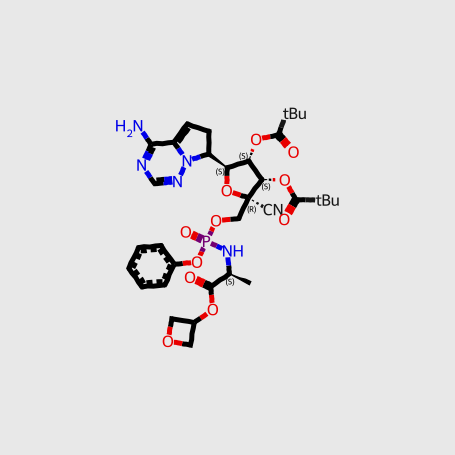 C[C@H](NP(=O)(OC[C@@]1(C#N)O[C@@H](C2CC=C3C(N)=NC=NN32)[C@H](OC(=O)C(C)(C)C)[C@@H]1OC(=O)C(C)(C)C)Oc1ccccc1)C(=O)OC1COC1